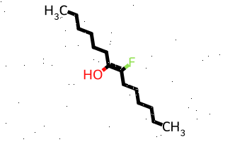 CCCCCCC(O)=C(F)CCCCCC